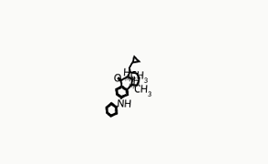 C[C@H]1[C@H]2C(=O)c3ccc(Nc4ccccc4)cc3[C@]1(C)CCCC2CC1CC1